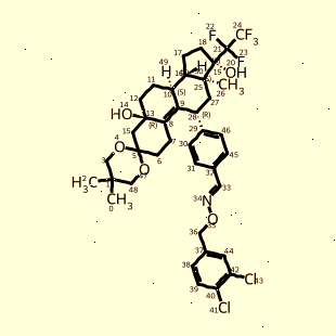 CC1(C)COC2(CCC3=C4[C@@H](CC[C@@]3(O)C2)[C@@H]2CC[C@@](O)(C(F)(F)C(F)(F)F)[C@@]2(C)C[C@@H]4c2ccc(C=NOCc3ccc(Cl)c(Cl)c3)cc2)OC1